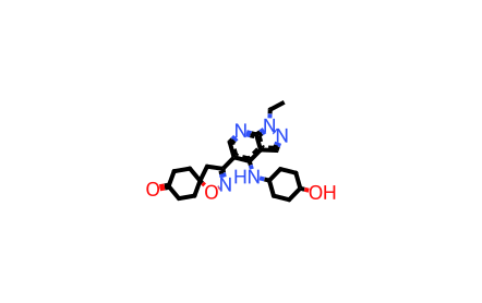 CCn1ncc2c(NC3CCC(O)CC3)c(C3=NOC4(CCC(=O)CC4)C3)cnc21